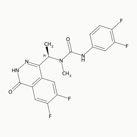 C[C@H](c1n[nH]c(=O)c2cc(F)c(F)cc12)N(C)C(=O)Nc1ccc(F)c(F)c1